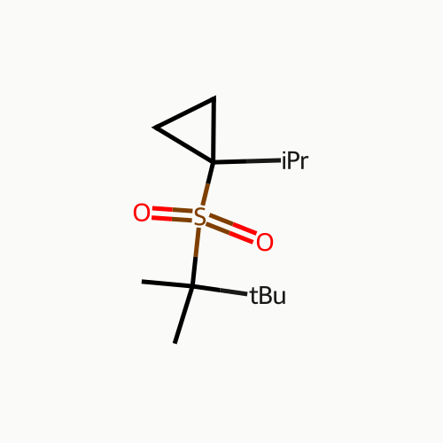 CC(C)C1(S(=O)(=O)C(C)(C)C(C)(C)C)CC1